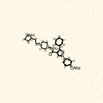 COc1ccc(-n2cc(C(=O)NN3CCN(CCC4CCCN4)CC3)c(-c3ccccc3)n2)cc1